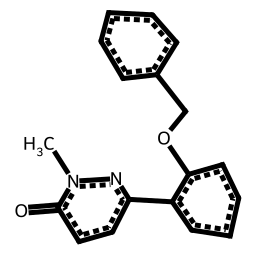 Cn1nc(-c2ccccc2OCc2ccccc2)ccc1=O